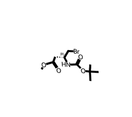 COC(=O)C[C@H](CBr)NC(=O)OC(C)(C)C